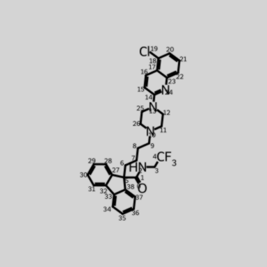 O=C(NCC(F)(F)F)C1(CCCCN2CCN(c3ccc4c(Cl)cccc4n3)CC2)c2ccccc2-c2ccccc21